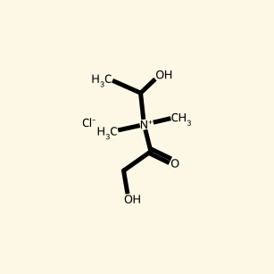 CC(O)[N+](C)(C)C(=O)CO.[Cl-]